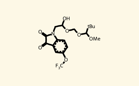 COC(OCOC(O)CN1C(=O)C(=O)c2cc(OC(F)(F)F)ccc21)C(C)(C)C